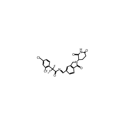 O=C1CCC(N2Cc3cc(C=NC(=O)C(F)(F)c4ccc(Cl)cc4C(F)(F)F)ccc3C2=O)C(=O)N1